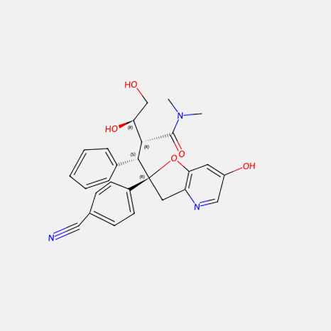 CN(C)C(=O)[C@H]([C@@H](c1ccccc1)[C@@]1(c2ccc(C#N)cc2)Cc2ncc(O)cc2O1)[C@@H](O)CO